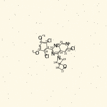 COc1cc(OC)c(Cl)c(-c2nc(N3CC4(CCO4)C3)c3cc(Cl)ncc3n2)c1Cl